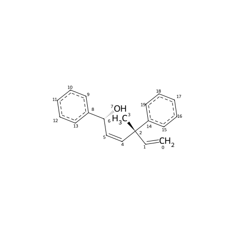 C=C[C@](C)(/C=C\[C@@H](O)c1ccccc1)c1ccccc1